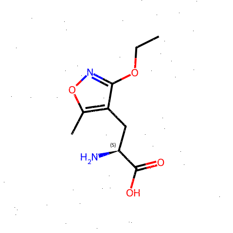 CCOc1noc(C)c1C[C@H](N)C(=O)O